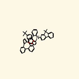 CC(C)(C)c1ccc2c(c1)C1(c3ccccc3-c3ccccc3-c3ccccc31)c1cccc(N(c3ccc4c(c3)C(C)(C)c3ccccc3-4)c3ccccc3-c3ccccc3)c1-2